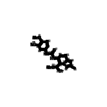 COc1ncc(NC(=O)Nc2cnc3cc(C)nn3c2C(OC)C(C)C)cc1C#N